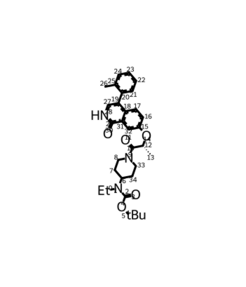 CCN(C(=O)OC(C)(C)C)C1CCN(C(=O)[C@@H](C)Oc2ccc3c(-c4ccccc4C)c[nH]c(=O)c3c2)CC1